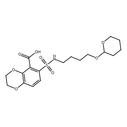 O=C(O)c1c(S(=O)(=O)NCCCCOC2CCCCO2)ccc2c1OCCO2